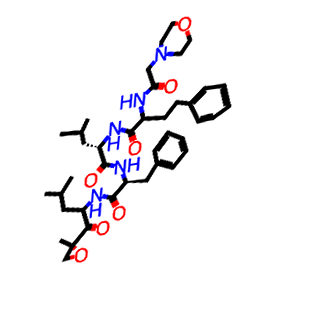 CC(C)CC(NC(=O)[C@H](Cc1ccccc1)NC(=O)[C@H](CC(C)C)NC(=O)C(CCc1ccccc1)NC(=O)CN1CCOCC1)C(=O)C1(C)CO1